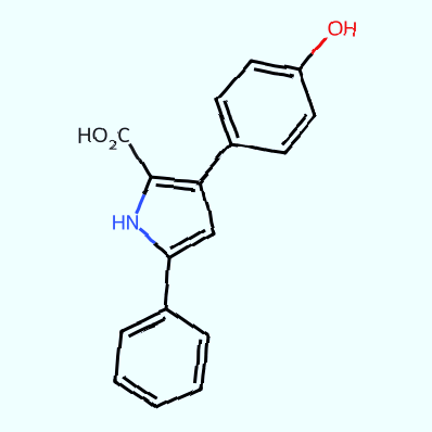 O=C(O)c1[nH]c(-c2ccccc2)cc1-c1ccc(O)cc1